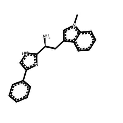 Cn1cc(C[C@H](N)c2nc(-c3ccccc3)c[nH]2)c2ccccc21